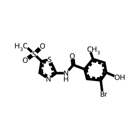 Cc1cc(O)c(Br)cc1C(=O)Nc1ncc(S(C)(=O)=O)s1